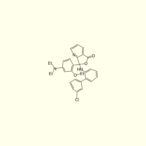 CCOc1cc(N(CC)CC)ccc1C1(Nc2ccccc2-c2cccc(Cl)c2)OC(=O)c2cccnc21